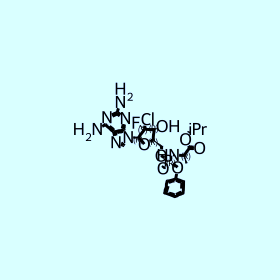 CC(C)OC(=O)[C@@H](C)N[P@@](=O)(OC[C@H]1O[C@@H](n2cnc3c(N)nc(N)nc32)[C@@](F)(Cl)[C@@H]1O)Oc1ccccc1